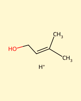 CC(C)=CCO.[H+]